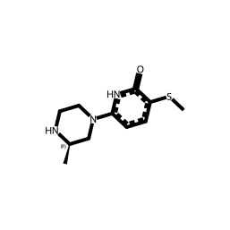 CSc1ccc(N2CCN[C@H](C)C2)[nH]c1=O